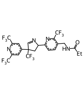 CCC(=O)NCc1ccc(C2CC(c3cc(C(F)(F)F)nc(C(F)(F)F)c3)(C(F)(F)F)C=N2)nc1C(F)(F)F